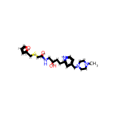 CN1CCN(Cc2ccnc(CCC(O)CNC(=O)CSCc3ccco3)c2)CC1